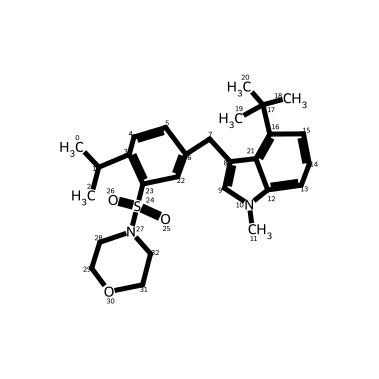 CC(C)c1ccc(Cc2cn(C)c3cccc(C(C)(C)C)c23)cc1S(=O)(=O)N1CCOCC1